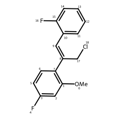 COc1cc(F)ccc1C(=Cc1ccccc1F)CCl